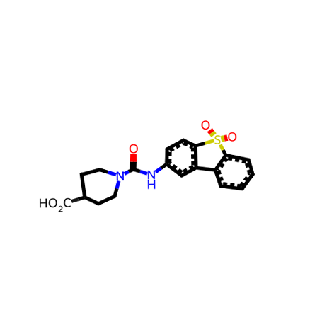 O=C(O)C1CCN(C(=O)Nc2ccc3c(c2)-c2ccccc2S3(=O)=O)CC1